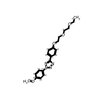 CCOCCOCCOc1ccc(-c2nnn(-c3ccc(OC)cc3)n2)cc1